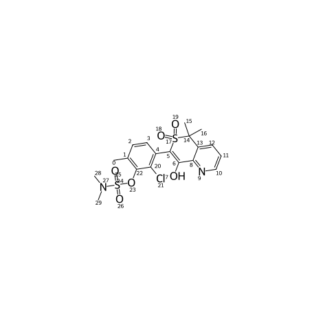 Cc1ccc(C2=C(O)c3ncccc3C(C)(C)S2(=O)=O)c(Cl)c1OS(=O)(=O)N(C)C